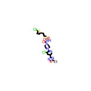 CCc1nc(-c2cnc(N3CCN(C(=O)NS(=O)(=O)CC=Cc4ccc(Cl)s4)CC3)c(Cl)c2)no1